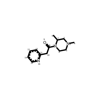 CC1CN(C)CCN1C(=O)Cc1ccccn1